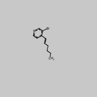 CCCC/C=C/c1ccncc1Br